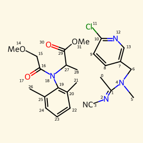 C/C(=N\C#N)N(C)Cc1ccc(Cl)nc1.COCC(=O)N(c1c(C)cccc1C)C(C)C(=O)OC